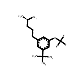 C[C@@H](N)CCCc1cc(OC(F)(F)F)cc(C(C)(C)C)c1